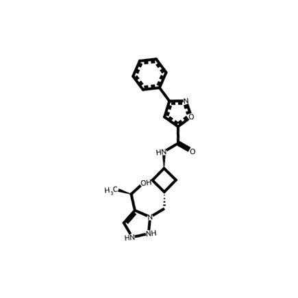 C[C@@H](O)C1=CNNN1C[C@H]1C[C@H](NC(=O)c2cc(-c3ccccc3)no2)C1